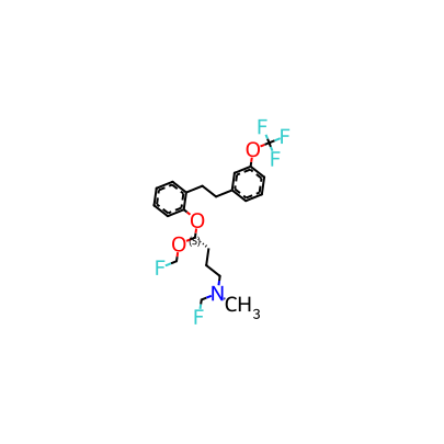 CN(CF)CCC[C@H](OCF)Oc1ccccc1CCc1cccc(OC(F)(F)F)c1